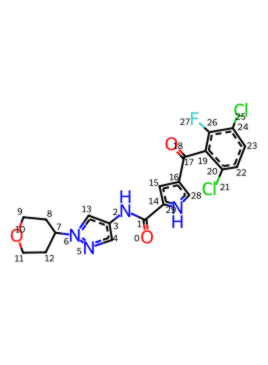 O=C(Nc1cnn(C2CCOCC2)c1)c1cc(C(=O)c2c(Cl)ccc(Cl)c2F)c[nH]1